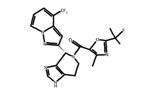 Cc1nc(C(C)(C)F)oc1C(=O)N1CCc2[nH]cnc2[C@@H]1c1cc2c(C(F)(F)F)cccn2n1